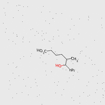 [CH2]C(CCCC(=O)O)C(O)CCC